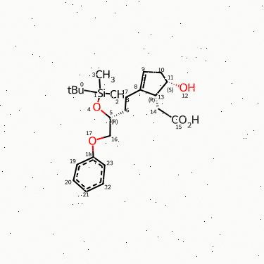 CC(C)(C)[Si](C)(C)O[C@H](CCC1=CC[C@H](O)[C@@H]1CC(=O)O)COc1ccccc1